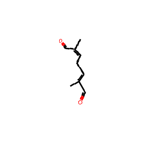 CC(C=O)=CC/C=C(\C)C=O